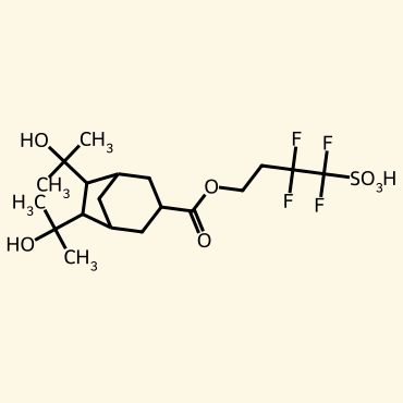 CC(C)(O)C1C2CC(C(=O)OCCC(F)(F)C(F)(F)S(=O)(=O)O)CC(C2)C1C(C)(C)O